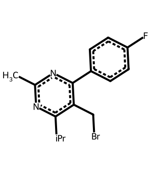 Cc1nc(-c2ccc(F)cc2)c(CBr)c(C(C)C)n1